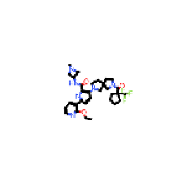 CCOc1ncccc1-c1ccc(N2CCC3(CCN(C(=O)C4(C(F)(F)F)CCCC4)C3)C2)c(C(=O)NC2CN(C)C2)n1